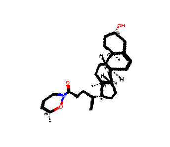 CC(CCC(=O)N1CCC[C@@H](C)O1)[C@H]1CC[C@H]2[C@@H]3CC=C4C[C@@H](O)CC[C@]4(C)[C@H]3CC[C@]12C